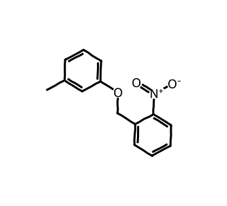 Cc1cccc(OCc2ccccc2[N+](=O)[O-])c1